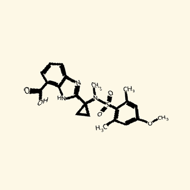 COc1cc(C)c(S(=O)(=O)N(C)C2(c3nc4cccc(C(=O)O)c4[nH]3)CC2)c(C)c1